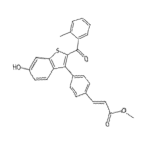 COC(=O)/C=C/c1ccc(-c2c(C(=O)c3ccccc3C)sc3cc(O)ccc23)cc1